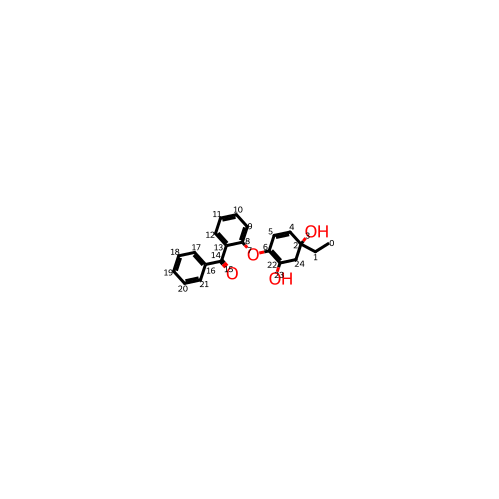 CCC1(O)C=CC(Oc2ccccc2C(=O)c2ccccc2)=C(O)C1